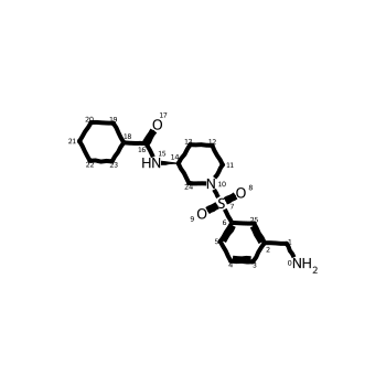 NCc1cccc(S(=O)(=O)N2CCC[C@H](NC(=O)C3CCCCC3)C2)c1